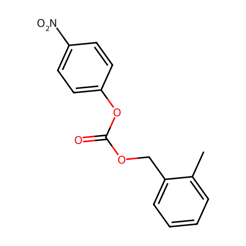 Cc1ccccc1COC(=O)Oc1ccc([N+](=O)[O-])cc1